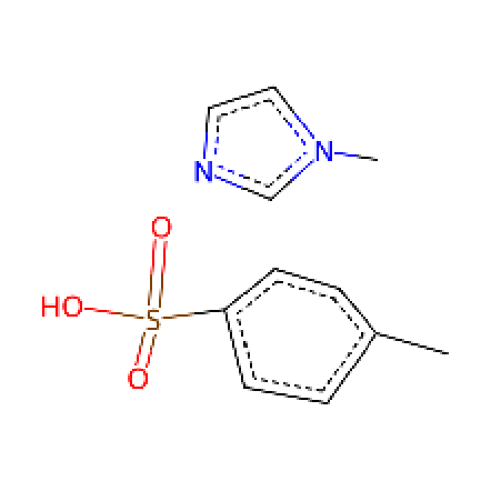 Cc1ccc(S(=O)(=O)O)cc1.Cn1ccnc1